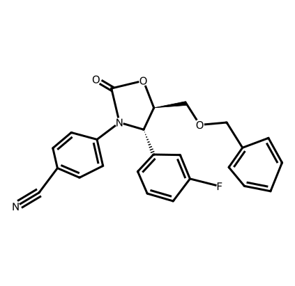 N#Cc1ccc(N2C(=O)O[C@@H](COCc3ccccc3)[C@@H]2c2cccc(F)c2)cc1